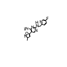 Cc1cc(-c2cnc(NCc3ccc(F)cn3)nc2C(C)C)on1